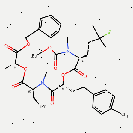 CC(C)C[C@@H](C(=O)O[C@H](C)C(=O)OCc1ccccc1)N(C)C(=O)[C@@H](CCc1ccc(C(F)(F)F)cc1)OC(=O)[C@H](CCC(C)(C)F)N(C)C(=O)OC(C)(C)C